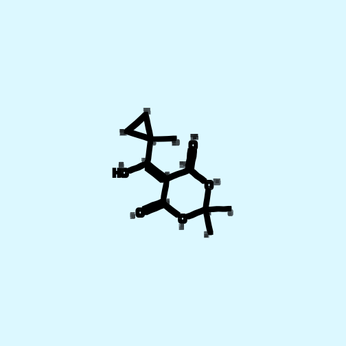 CC1(C)OC(=O)C(=C(O)C2(C)CC2)C(=O)O1